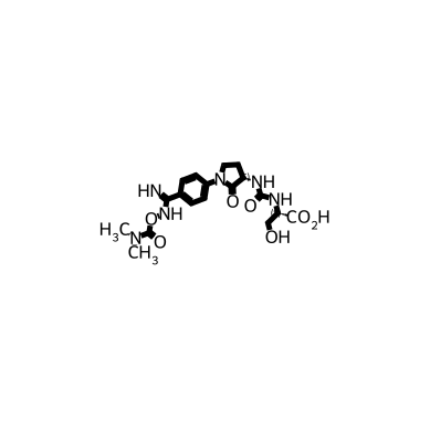 CN(C)C(=O)ONC(=N)c1ccc(N2CC[C@H](NC(=O)N[C@@H](CO)C(=O)O)C2=O)cc1